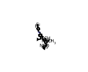 COc1cc(C(=O)N2C[C@@]3(CN)CCC23)cc2nc(-c3cc4cc(/C=C/c5ccc(C(F)(F)F)cc5)ccc4n3CC3CC3)n(C)c12